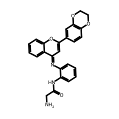 NCC(=O)Nc1ccccc1/N=c1\cc(-c2ccc3c(c2)OCCO3)oc2ccccc12